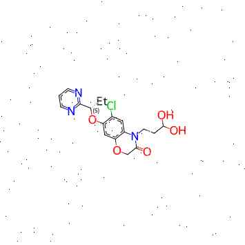 CC[C@H](Oc1cc2c(cc1Cl)N(CCC(O)O)C(=O)CO2)c1ncccn1